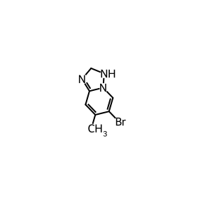 CC1=CC2=NCNN2C=C1Br